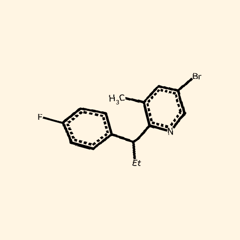 [CH2]CC(c1ccc(F)cc1)c1ncc(Br)cc1C